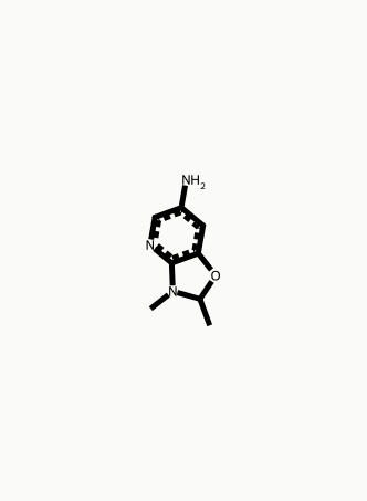 CC1Oc2cc(N)cnc2N1C